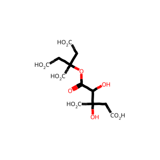 O=C(O)CC(CC(=O)O)(OC(=O)C(O)C(O)(CC(=O)O)C(=O)O)C(=O)O